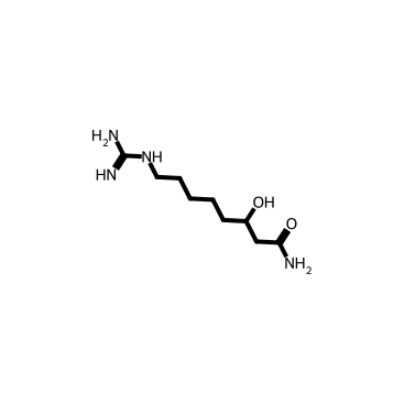 N=C(N)NCCCCCC(O)CC(N)=O